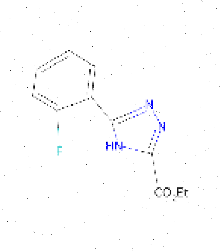 CCOC(=O)c1nnc(-c2ccccc2F)[nH]1